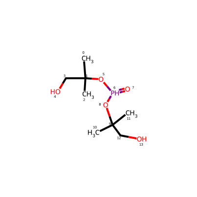 CC(C)(CO)O[PH](=O)OC(C)(C)CO